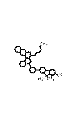 C=C/C=C\C=C\c1nc2cc3ccccc3cc2c2c1cc(-c1cccc(-c3ccc4c(c3)C(C)(C)c3cc(C#N)ccc3-4)c1)c1ccccc12